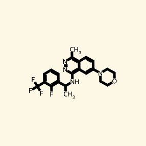 Cc1nnc(NC(C)c2cccc(C(F)(F)F)c2F)c2cc(N3CCOCC3)ccc12